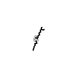 CCCCCCCC(=O)OC(CCCCCCC(CC)CC)C(=O)O